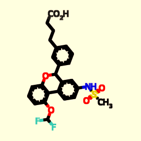 CS(=O)(=O)Nc1ccc2c(c1)C(c1cccc(CCCC(=O)O)c1)Oc1cccc(OC(F)F)c1-2